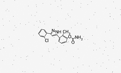 Cc1c(OC(N)=O)cccc1-c1cc(-c2ccccc2Cl)n[nH]1